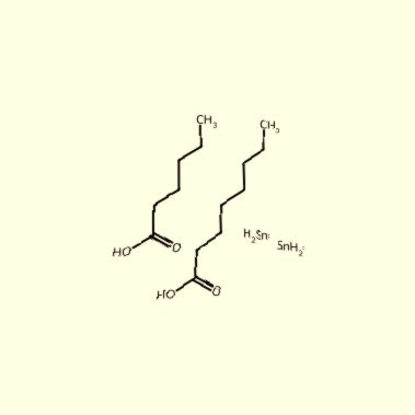 CCCCCC(=O)O.CCCCCCCC(=O)O.[SnH2].[SnH2]